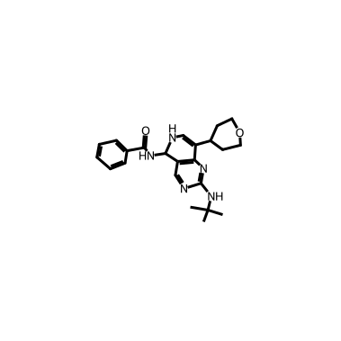 CC(C)(C)Nc1ncc2c(n1)C(C1CCOCC1)=CNC2NC(=O)c1ccccc1